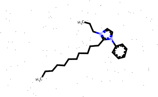 CCCCCCCCCCCc1n(-c2ccccc2)cc[n+]1CCC